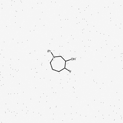 CC(C)N1CCCC(F)C(O)C1